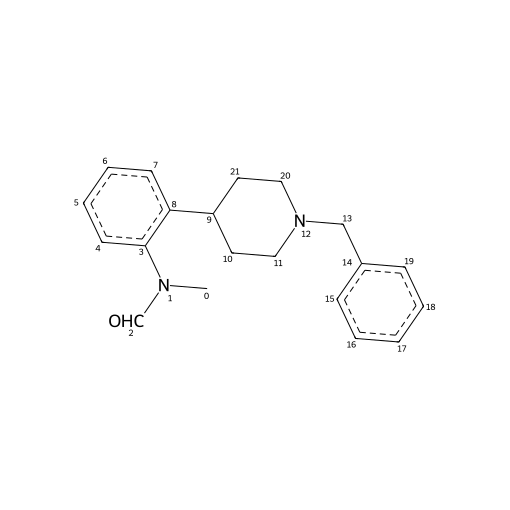 CN(C=O)c1ccccc1C1CCN(Cc2ccccc2)CC1